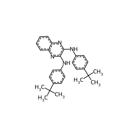 CC(C)(C)c1ccc(Nc2nc3ccccc3nc2Nc2ccc(C(C)(C)C)cc2)cc1